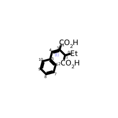 CCC(C(=O)O)/C(=C\c1ccccc1)C(=O)O